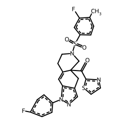 Cc1ccc(S(=O)(=O)N2CCC3=Cc4c(cnn4-c4ccc(F)cc4)CC3(C(=O)c3nccs3)C2)cc1F